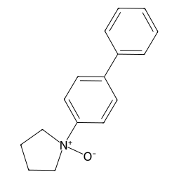 [O-][N+]1(c2ccc(-c3ccccc3)cc2)CCCC1